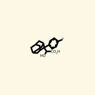 O=C(O)C(O)C1(c2ccc(F)cc2)C2CC3CC(C2)CC1C3